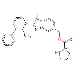 Cc1c(-c2ccccc2)cccc1-c1nc2cc(COC(=O)[C@H]3CCCN3)ccc2[nH]1